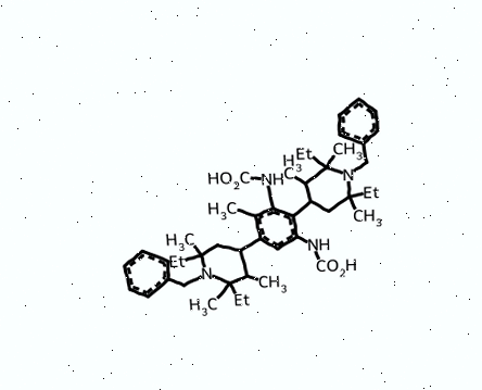 CCC1(C)CC(c2cc(NC(=O)O)c(C3CC(C)(CC)N(Cc4ccccc4)C(C)(CC)C3C)c(NC(=O)O)c2C)C(C)C(C)(CC)N1Cc1ccccc1